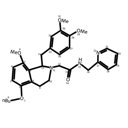 CCCCOc1ccc(OC)c2c1CCN(CC(=O)NCc1ccccn1)C2Cc1ccc(OC)c(OC)c1